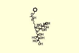 CC(OCc1ccccc1)=[SH]OCCCCCCN(C[C@H](O)[C@@H](O)[C@H](O)[C@H](O)CO)C[C@H](O)[C@@H](O)[C@H](O)[C@H](O)CO.Cl